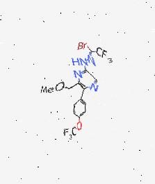 COCc1nc(NN=C(Br)C(F)(F)F)cnc1-c1ccc(OC(F)(F)F)cc1